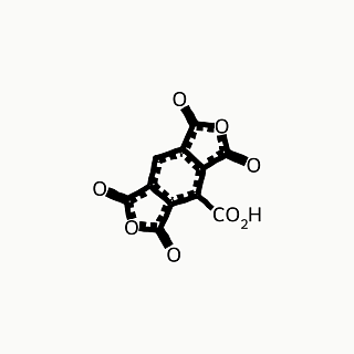 O=C(O)c1c2c(=O)oc(=O)c2cc2c(=O)oc(=O)c12